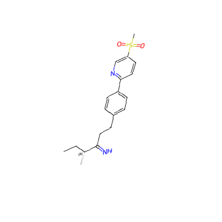 CC[C@@H](C)C(=N)CCc1ccc(-c2ccc(S(C)(=O)=O)cn2)cc1